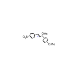 COc1ccc(C(/C=C/c2ccc([N+](=O)[O-])cc2)OC(C)=O)cc1